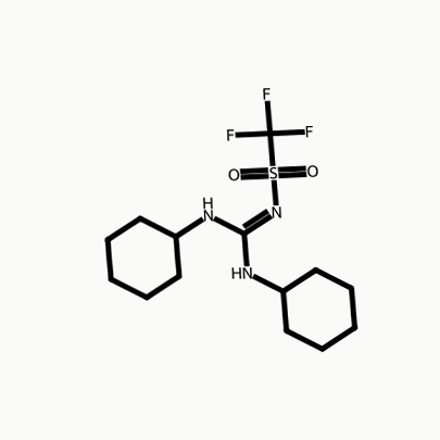 O=S(=O)(N=C(NC1CCCCC1)NC1CCCCC1)C(F)(F)F